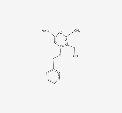 COc1cc(C)c(CO)c(OCc2ccccc2)c1